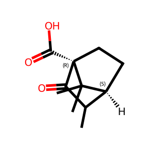 CC1C(=O)[C@@]2(C(=O)O)CC[C@@H]1C2(C)C